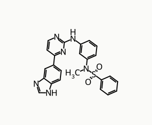 CN(c1cccc(Nc2nccc(-c3ccc4[nH]cnc4c3)n2)c1)S(=O)(=O)c1ccccc1